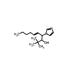 CCCC/C=C/C(C(O)C(C)(C)C)n1ccnc1